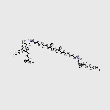 CCCCCC(OC(=O)CCCC(=O)O)C(O)C/C=C\CCCCCCCC(=O)OCOC(=O)CCCCCCC/C=C\C[C@@H]1O[C@@H]1CCCCC